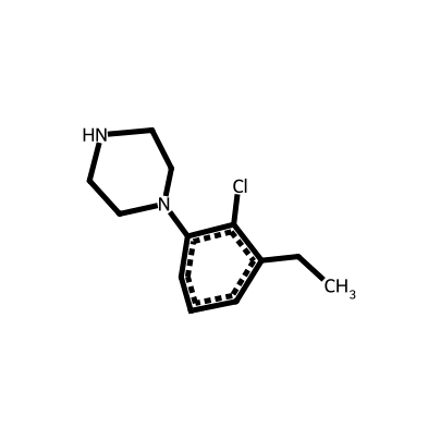 CCc1cccc(N2CCNCC2)c1Cl